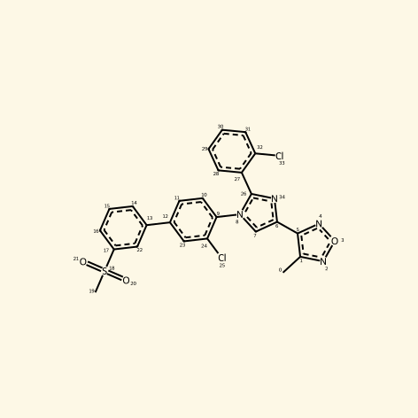 Cc1nonc1-c1cn(-c2ccc(-c3cccc(S(C)(=O)=O)c3)cc2Cl)c(-c2ccccc2Cl)n1